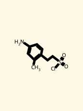 Cc1cc(N)ccc1CCS(=O)(=O)Cl